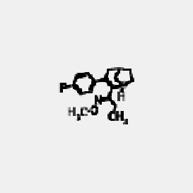 CCC(=NOC)C1=C(c2ccc(F)cc2)CC2CC[C@H]1C2